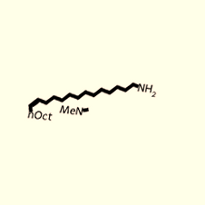 CCCCCCCC/C=C\CCCCCCCCCCCCN.CNC